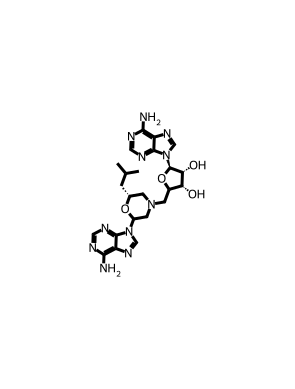 CC(C)C[C@@H]1CN(CC2O[C@@H](n3cnc4c(N)ncnc43)[C@H](O)[C@@H]2O)CC(n2cnc3c(N)ncnc32)O1